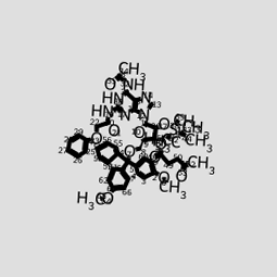 COc1ccc(C(OC[C@H]2O[C@@H](n3cnc4c3N=C(NC(=O)COc3ccccc3)NC4NC(C)=O)C(O[Si](C)(C)C(C)(C)C)[C@H]2OC(=O)CCC(C)=O)(c2ccccc2)c2ccc(OC)cc2)cc1